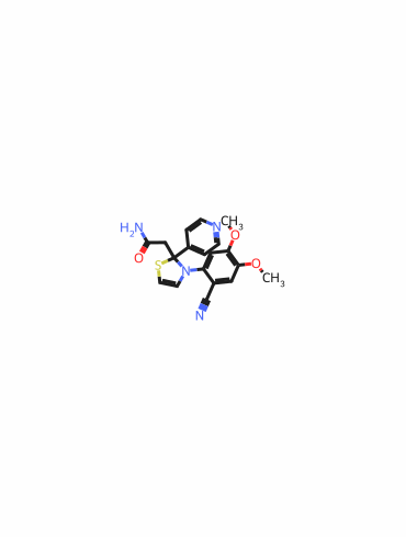 COc1cc(C#N)c(N2C=CSC2(CC(N)=O)c2ccncc2)cc1OC